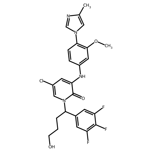 COc1cc(Nc2cc(Cl)cn(C(CCCO)c3cc(F)c(F)c(F)c3)c2=O)ccc1-n1cnc(C)c1